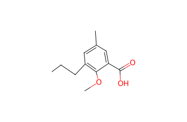 CCCc1cc(C)cc(C(=O)O)c1OC